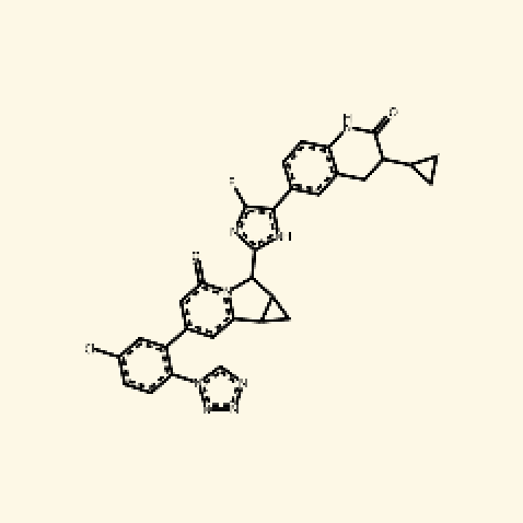 O=C1Nc2ccc(-c3[nH]c(C4C5CC5c5cc(-c6cc(Cl)ccc6-n6cnnn6)cc(=O)n54)nc3F)cc2CC1C1CC1